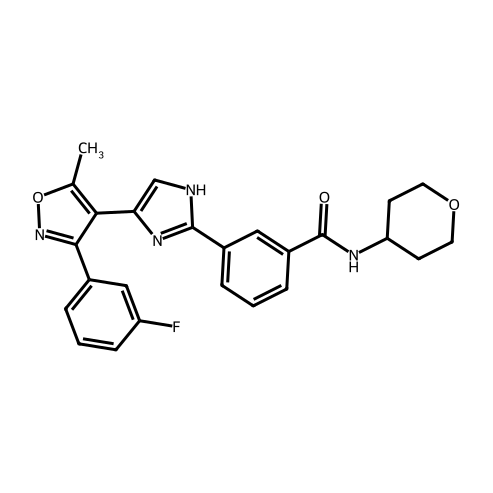 Cc1onc(-c2cccc(F)c2)c1-c1c[nH]c(-c2cccc(C(=O)NC3CCOCC3)c2)n1